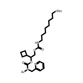 CCCCCCCCCCCCCCCCCCNC(=O)OCC(OC(=O)N(Cc1ccccn1)C(C)=O)C1CCC1